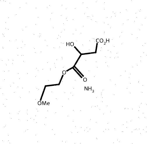 COCCOC(=O)C(O)CC(=O)O.N